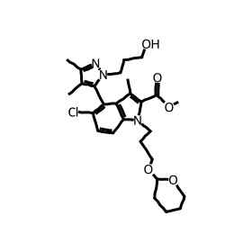 COC(=O)c1c(C)c2c(-c3c(C)c(C)nn3CCCO)c(Cl)ccc2n1CCCOC1CCCCO1